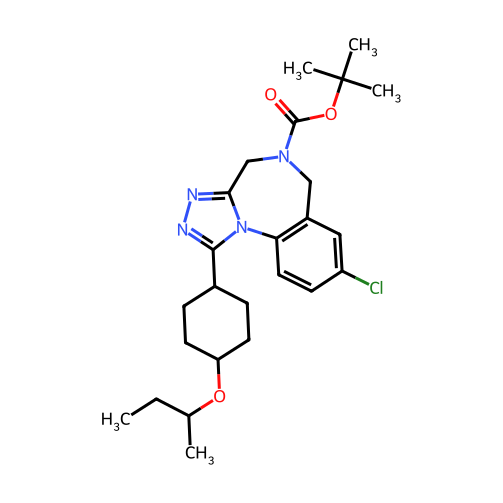 CCC(C)OC1CCC(c2nnc3n2-c2ccc(Cl)cc2CN(C(=O)OC(C)(C)C)C3)CC1